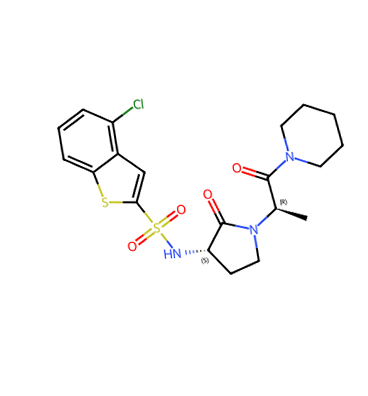 C[C@H](C(=O)N1CCCCC1)N1CC[C@H](NS(=O)(=O)c2cc3c(Cl)cccc3s2)C1=O